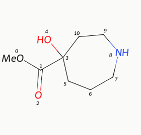 COC(=O)C1(O)CCCNCC1